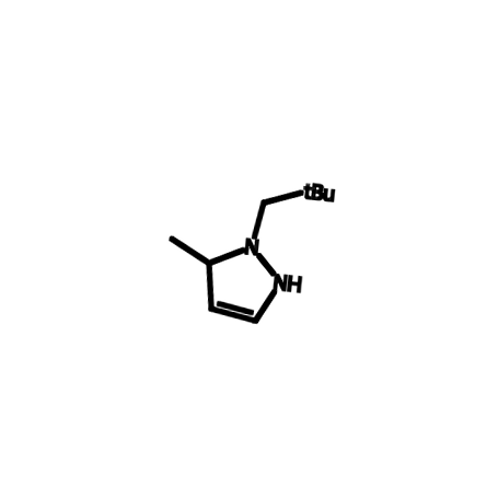 CC1C=CNN1CC(C)(C)C